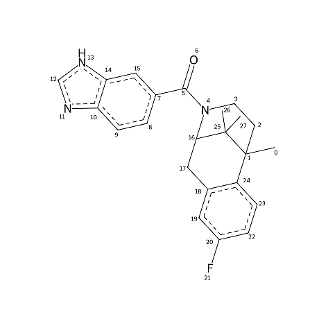 CC12CCN(C(=O)c3ccc4nc[nH]c4c3)C(Cc3cc(F)ccc31)C2(C)C